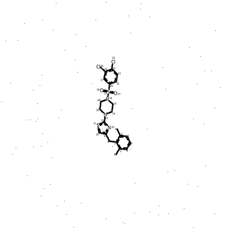 Cc1cccc(C)c1Cc1csc(N2CCN(S(=O)(=O)c3ccc(Cl)c(Cl)c3)CC2)n1